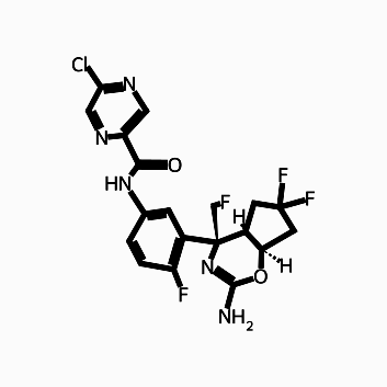 NC1=N[C@](CF)(c2cc(NC(=O)c3cnc(Cl)cn3)ccc2F)[C@H]2CC(F)(F)C[C@H]2O1